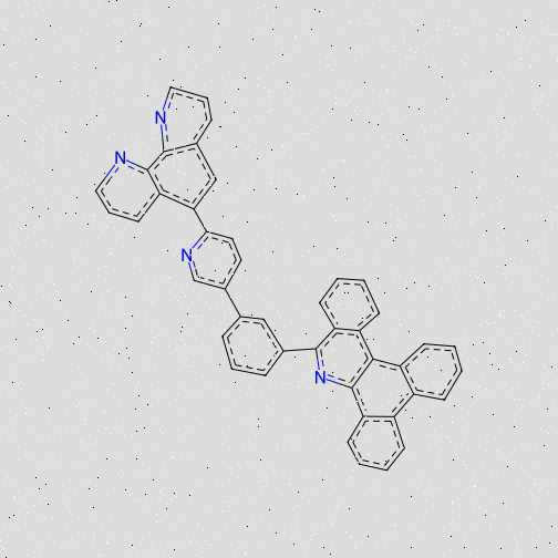 c1cc(-c2ccc(-c3cc4cccnc4c4ncccc34)nc2)cc(-c2nc3c4ccccc4c4ccccc4c3c3ccccc23)c1